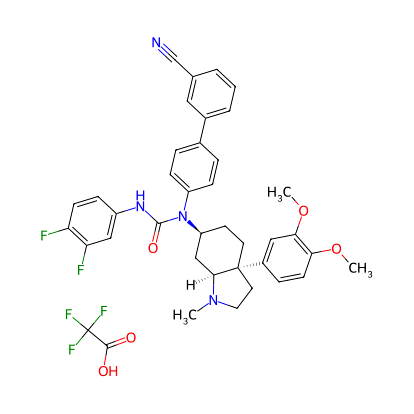 COc1ccc([C@@]23CC[C@H](N(C(=O)Nc4ccc(F)c(F)c4)c4ccc(-c5cccc(C#N)c5)cc4)C[C@@H]2N(C)CC3)cc1OC.O=C(O)C(F)(F)F